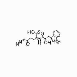 [N-]=[N+]=CC(=O)CC[C@H](NC(=O)[C@@H](O)Cc1c[nH]c2ccccc12)C(O)=S